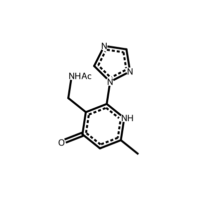 CC(=O)NCc1c(-n2cncn2)[nH]c(C)cc1=O